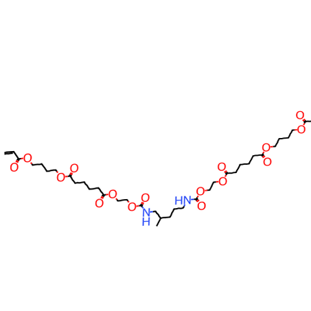 C=CC(=O)OCCCCOC(=O)CCCCC(=O)OCCOC(=O)NCCCC(C)CNC(=O)OCCOC(=O)CCCCC(=O)OCCCCOC(=O)C=C